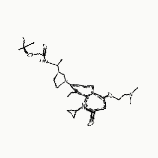 Cc1c(N2CC[C@@H]([C@H](C)NC(=O)OC(C)(C)C)C2)ccc2c(OCCN(C)C)cc(=O)n(C3CC3)c12